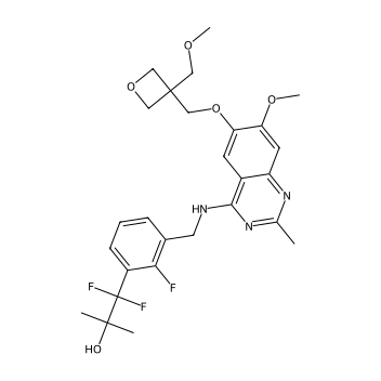 COCC1(COc2cc3c(NCc4cccc(C(F)(F)C(C)(C)O)c4F)nc(C)nc3cc2OC)COC1